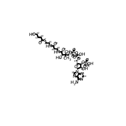 CC(C)(COP(=O)(O)OP(=O)(O)OC[C@H]1O[C@@H](n2cnc3c(N)ncnc32)[C@H](O)[C@@H]1OP(=O)(O)O)C(O)C(=O)NCCC(=O)NCCSC(=O)/C=C/CO